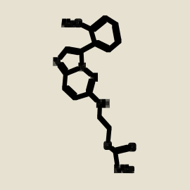 CNC(=O)OCCNc1ccc2ncc(-c3ccccc3OC)n2n1